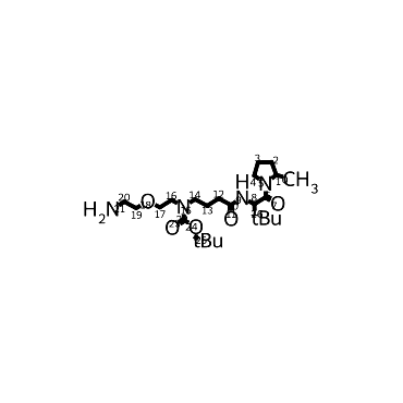 CC1CCCN1C(=O)C(NC(=O)CCCN(CCOCCN)C(=O)OC(C)(C)C)C(C)(C)C